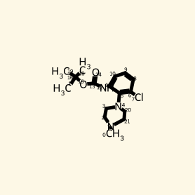 CN1CCN(c2c(Cl)cccc2NC(=O)OC(C)(C)C)CC1